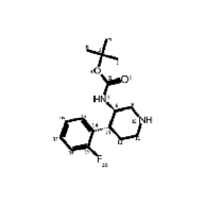 CC(C)(C)OC(=O)N[C@H]1CNCC[C@@H]1c1ccccc1F